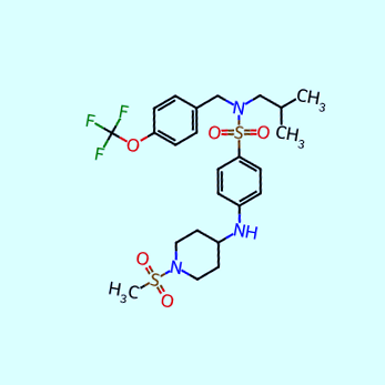 CC(C)CN(Cc1ccc(OC(F)(F)F)cc1)S(=O)(=O)c1ccc(NC2CCN(S(C)(=O)=O)CC2)cc1